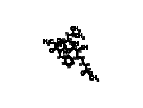 CNC(=O)[C@H](Cc1ccccc1)NC(=O)C(CC(C)C)NC(=O)C(S)CCCCC(=O)OC